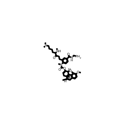 CNC(CCCCN(C)C)C(=O)CCc1cc(C(=O)NCP)ccc1N(C)C(=O)OC1=CC[C@H]2[C@H]3Cc4ccc(OC)c5c4[C@@]2(CCN3C)[C@H]1O5